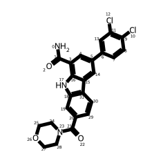 NC(=O)c1cc(-c2ccc(Cl)c(Cl)c2)cc2c1[nH]c1cc(C(=O)N3CCOCC3)ccc12